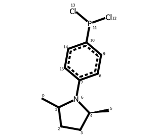 CC1CC[C@H](C)N1c1ccc(P(Cl)Cl)cc1